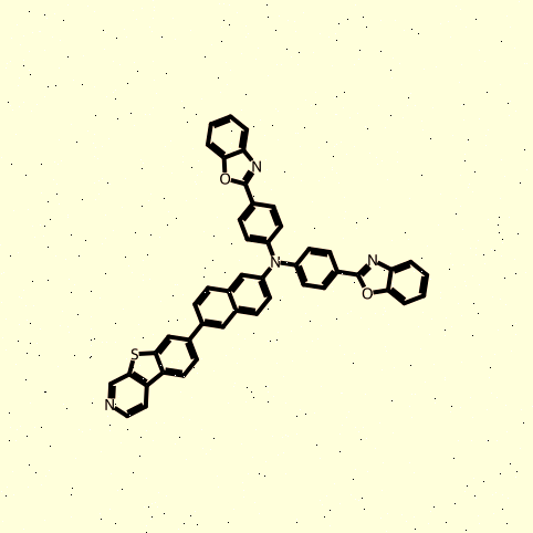 c1ccc2oc(-c3ccc(N(c4ccc(-c5nc6ccccc6o5)cc4)c4ccc5cc(-c6ccc7c(c6)sc6cnccc67)ccc5c4)cc3)nc2c1